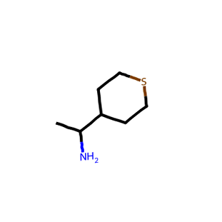 CC(N)C1CCSCC1